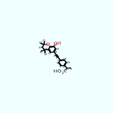 CC(C(=O)O)c1ccc(C#Cc2cc(O)c3c(c2)C(C)(C)CC(C)(C)O3)cc1